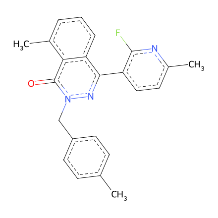 Cc1ccc(Cn2nc(-c3ccc(C)nc3F)c3cccc(C)c3c2=O)cc1